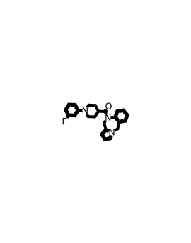 O=C(C1CCN(c2cccc(F)c2)CC1)N1Cc2cccn2Cc2ccccc21